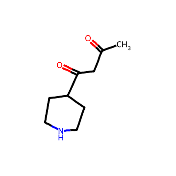 CC(=O)CC(=O)C1CCNCC1